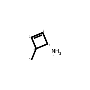 CC1C=CC1.N